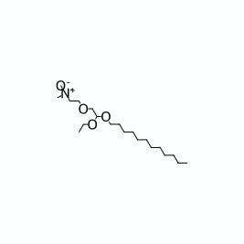 CCCCCCCCCCCCOC(COCC[N+](C)(C)[O-])OCC